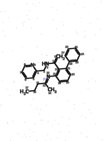 C=C(NCc1ccccn1)c1c(/N=C(\C)CCC)cccc1-c1ccccc1